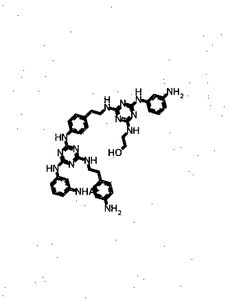 CC(=O)Nc1cccc(Nc2nc(NCCc3ccc(N)cc3)nc(Nc3ccc(CCNc4nc(NCCO)nc(Nc5cccc(N)c5)n4)cc3)n2)c1